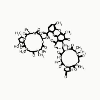 Cc1c2oc3c(C)ccc(C(=O)N[C@@H]4C(=O)N[C@H](C(C)C)C(=O)N5[C@H](C(=O)N(C)CC(=O)N(C)[C@@H](C(C)C)C(=O)O[C@@H]4C)[C@@H](O)C[C@@H]5C)c3nc-2c2c(c1=O)N[C@H]([C@@H]1NC(=O)[C@H](C)N(C)C(=O)CN(C)C(=O)[C@@H]3CC(=O)CN3C(=O)[C@@H](C(C)C)NC1=O)COC2=O